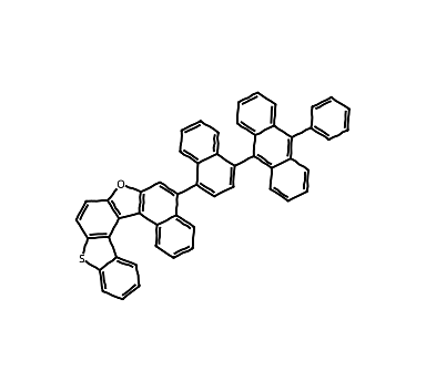 c1ccc(-c2c3ccccc3c(-c3ccc(-c4cc5oc6ccc7sc8ccccc8c7c6c5c5ccccc45)c4ccccc34)c3ccccc23)cc1